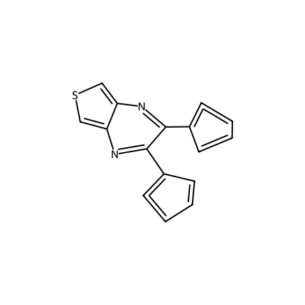 C1=CC=CC=1c1nc2cscc2nc1C1=C=CC=C1